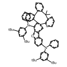 CC(C)(C)c1cc(N(c2ccccc2)c2ccc3oc4c(N(c5ccccc5)c5cc(C(C)(C)C)cc(C(C)(C)C)c5)c5c(cc4c3c2)-c2ncccc2C(C)(C)c2ccccc2-c2ccccc2-5)cc(C(C)(C)C)c1